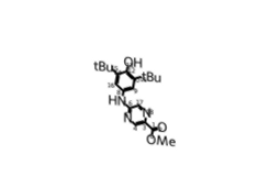 COC(=O)c1cnc(Nc2cc(C(C)(C)C)c(O)c(C(C)(C)C)c2)cn1